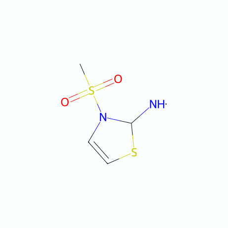 CS(=O)(=O)N1C=CSC1[NH]